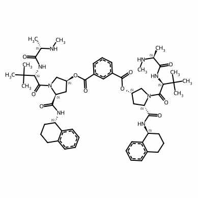 CN[C@@H](C)C(=O)N[C@H](C(=O)N1C[C@@H](OC(=O)c2cccc(C(=O)O[C@H]3C[C@@H](C(=O)N[C@H]4CCCc5ccccc54)N(C(=O)[C@@H](NC(=O)[C@H](C)NC)C(C)(C)C)C3)c2)C[C@H]1C(=O)N[C@H]1CCCc2ccccc21)C(C)(C)C